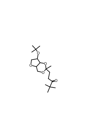 CC(C)(C)OC1COC2COC(C)(CCC(=O)C(C)(C)C)OC21